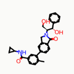 Cc1ccc(C(=O)NC2CC2)cc1-c1ccc2c(c1)CN([C@@H](CO)[C@@H](O)c1ccccc1)C2=O